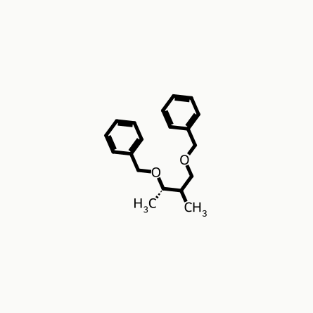 CC(COCc1ccccc1)[C@H](C)OCc1ccccc1